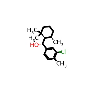 Cc1ccc([C@H](O)[C@@H]2[C@@H](C)CCCC2(C)C)cc1Cl